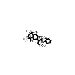 CCCCCCCCC=C(C(=O)Nc1ccccc1C(=O)O)c1ccc2c(c1)C(C)(C)CCC2(C)C